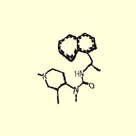 CC1CN(C)CCC1N(C)C(=O)N[C@H](C)c1cccc2ccccc12